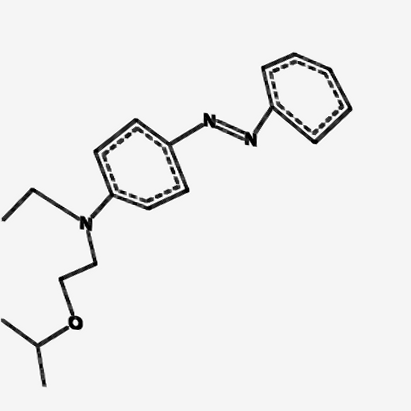 CCN(CCOC(C)C)c1ccc(N=Nc2ccccc2)cc1